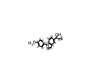 Cc1ccc(-n2ncc3cc(C(O)CF)ccc32)cc1